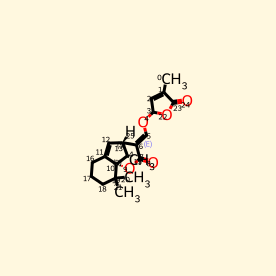 CC1=CC(O/C=C2/C(=O)O[C@]34C(=C[C@H]2C3C)CCCC4(C)C)OC1=O